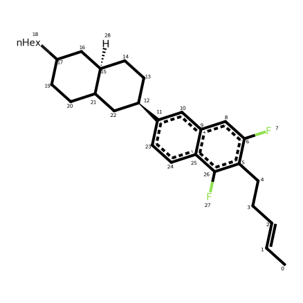 C/C=C/CCc1c(F)cc2cc([C@@H]3CC[C@@H]4CC(CCCCCC)CCC4C3)ccc2c1F